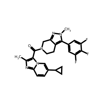 Cc1nc2ccc(C3CC3)cn2c1C(=O)N1CCc2c(nn(C)c2-c2cc(F)c(F)c(F)c2)C1